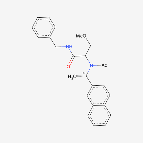 COCC(C(=O)NCc1ccccc1)N(C(C)=O)[C@@H](C)c1ccc2ccccc2c1